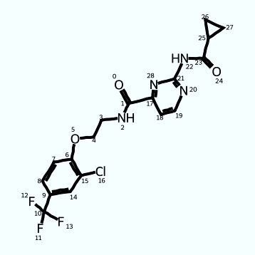 O=C(NCCOc1ccc(C(F)(F)F)cc1Cl)c1ccnc(NC(=O)C2CC2)n1